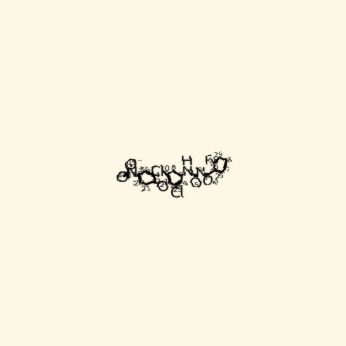 COC(=NC(=O)Nc1cc(Cl)c(Oc2ccc([N+](=O)[O-])cc2)c(Cl)c1)c1ccccc1F